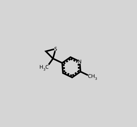 Cc1ccc(C2(C)CS2)cn1